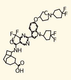 O=C(NC1CC2CC3CC(C(=O)O)CC21C3)c1cnc(-c2cn(C3CCC(F)(F)CC3)c3cc(OC4CCN(C5CCC(F)(F)CC5)CC4)ccc23)nc1C(F)(F)F